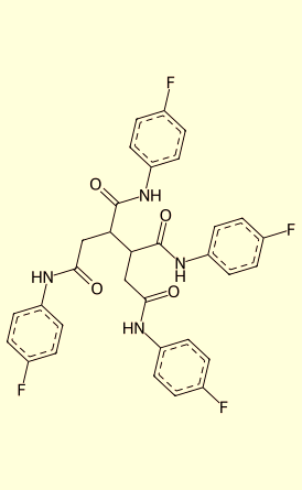 O=C(CC(C(=O)Nc1ccc(F)cc1)C(CC(=O)Nc1ccc(F)cc1)C(=O)Nc1ccc(F)cc1)Nc1ccc(F)cc1